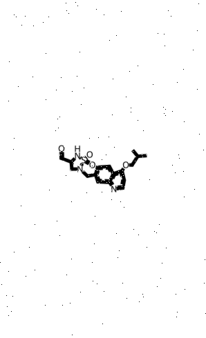 CC(C)COc1ccnc2cc(CN3CC(C=O)NS3(=O)=O)ccc12